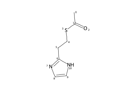 CC(=O)SCCc1ncc[nH]1